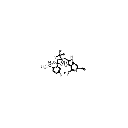 COc1ccc(F)cc1C(C)(C)CC(O)(Cc1cc2c(C)nc(C#N)cc2[nH]1)C(F)(F)F